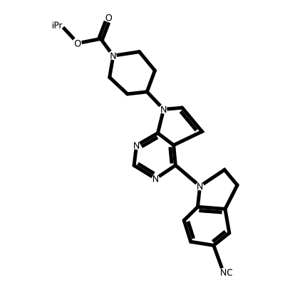 [C-]#[N+]c1ccc2c(c1)CCN2c1ncnc2c1ccn2C1CCN(C(=O)OC(C)C)CC1